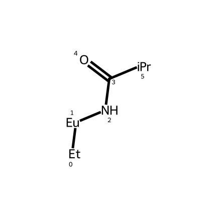 C[CH2][Eu][NH]C(=O)C(C)C